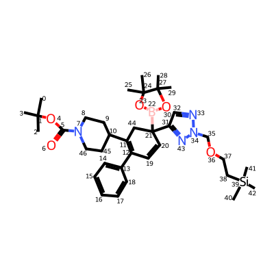 CC(C)(C)OC(=O)N1CCC(C2=C(c3ccccc3)C=CC(B3OC(C)(C)C(C)(C)O3)(c3cnn(COCC[Si](C)(C)C)n3)C2)CC1